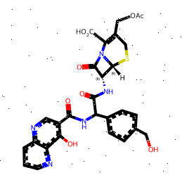 CC(=O)OCC1=C(C(=O)O)N2C(=O)[C@@H](NC(=O)C(NC(=O)c3cnc4cccnc4c3O)c3ccc(CO)cc3)[C@H]2SC1